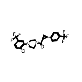 O=C(C1C[C@H]1c1ccc(C(F)(F)F)cc1)N1CCN(c2cc(C(F)(F)F)ccc2Cl)CC1